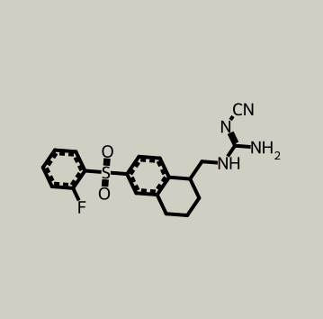 N#CN=C(N)NCC1CCCc2cc(S(=O)(=O)c3ccccc3F)ccc21